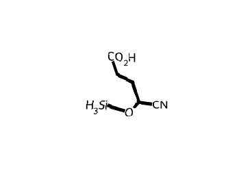 N#CC(CCC(=O)O)O[SiH3]